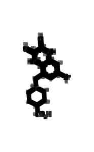 O=C(O)C1CCN(Cc2cc(Br)cc3[nH]c(=O)c(=O)[nH]c23)CC1